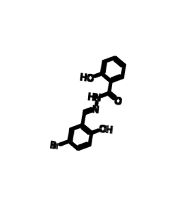 O=C(N/N=C/c1cc(Br)ccc1O)c1ccccc1O